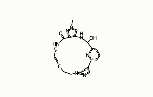 Cn1cc2c(n1)C(=O)NC/C=C\CCCn1cc(cn1)-c1cccc(n1)C(O)N2